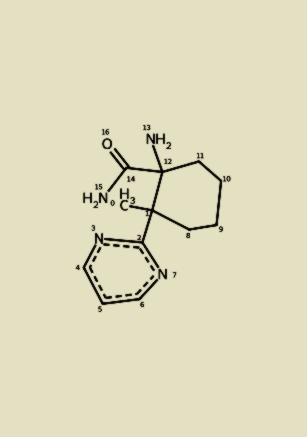 CC1(c2ncccn2)CCCCC1(N)C(N)=O